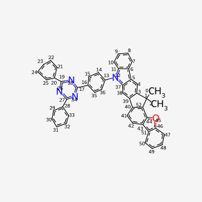 CC1(C)c2cc3c4ccccc4n(-c4ccc(-c5nc(-c6ccccc6)nc(-c6ccccc6)n5)cc4)c3cc2-c2ccc3c(oc4ccccc43)c21